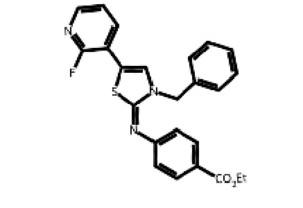 CCOC(=O)c1ccc(/N=c2/sc(-c3cccnc3F)cn2Cc2ccccc2)cc1